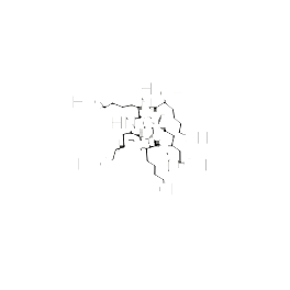 CCCCCC(C)C(=O)NC(CCCCC)C(=O)NC(CCCCC)C(=O)NC(CCCCC)C(=O)NC(CC(C)=O)CC(C)=O